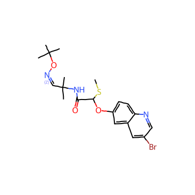 CSC(Oc1ccc2ncc(Br)cc2c1)C(=O)NC(C)(C)/C=N\OC(C)(C)C